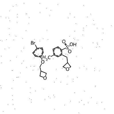 Brc1ccc(OCC2COC2)cc1.Cc1ccc(S(=O)(=O)O)c(CC2COC2)c1